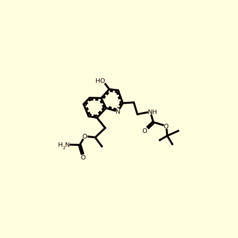 CC(Cc1cccc2c(O)cc(CCNC(=O)OC(C)(C)C)nc12)OC(N)=O